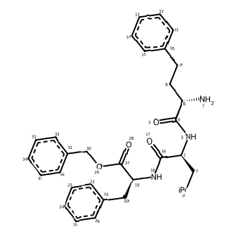 CC(C)C[C@H](NC(=O)[C@@H](N)CCc1ccccc1)C(=O)N[C@@H](Cc1ccccc1)C(=O)OCc1ccccc1